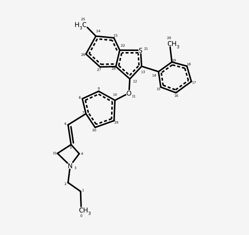 CCCN1CC(=Cc2ccc(Oc3c(-c4ccccc4C)sc4cc(C)ccc34)cc2)C1